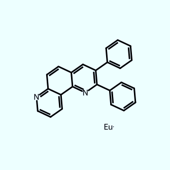 [Eu].c1ccc(-c2cc3ccc4ncccc4c3nc2-c2ccccc2)cc1